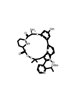 CCn1c(-c2cccnc2[C@H](C)OC)c2c3cc(ccc31)-c1cc(O)cc(c1)C[C@H]([SiH3])C(=O)N1CCC[C@H](N1)C(=O)OCC(C)(C)C2